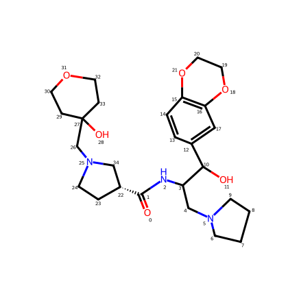 O=C(NC(CN1CCCC1)C(O)c1ccc2c(c1)OCCO2)[C@@H]1CCN(CC2(O)CCOCC2)C1